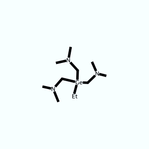 C[CH2][Ge]([CH2]N(C)C)([CH2]N(C)C)[CH2]N(C)C